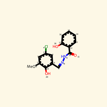 COc1cc(Cl)cc(/C=N\NC(=O)c2ccccc2O)c1O